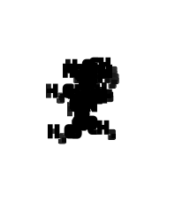 CCCCC(C)(CO[Si](C)(C)C(C)(C)C)Nc1c(C(=O)OCC)c(NCc2ccc(OC)cc2OC)nc2cc(F)cnc12